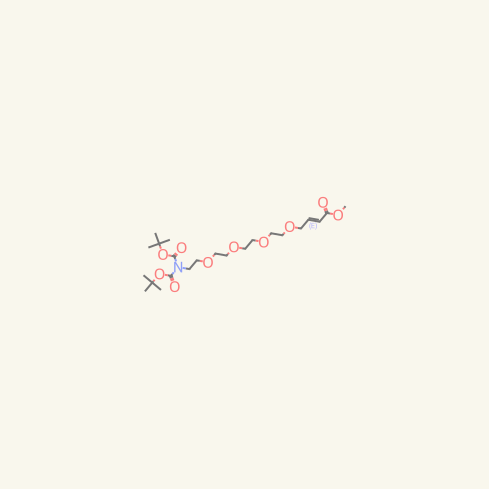 COC(=O)/C=C/COCCOCCOCCOCCN(C(=O)OC(C)(C)C)C(=O)OC(C)(C)C